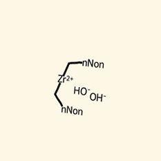 CCCCCCCCC[CH2][Zr+2][CH2]CCCCCCCCC.[OH-].[OH-]